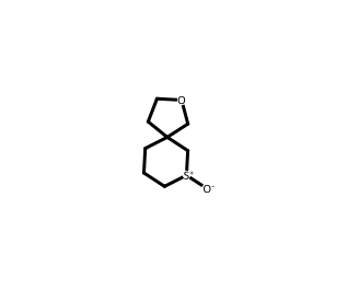 [O-][S+]1CCCC2(CCOC2)C1